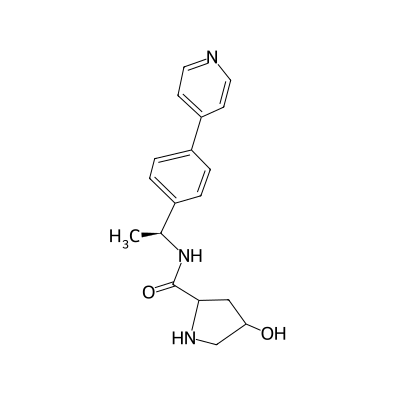 C[C@H](NC(=O)C1CC(O)CN1)c1ccc(-c2ccncc2)cc1